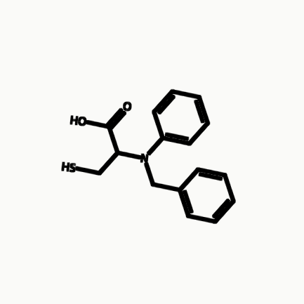 O=C(O)C(CS)N(Cc1ccccc1)c1ccccc1